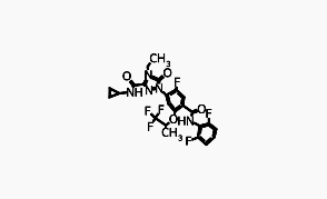 CCn1c(C(=O)NC2CC2)nn(-c2cc(O[C@@H](C)C(F)(F)F)c(C(=O)Nc3c(F)cccc3F)cc2F)c1=O